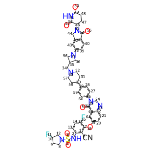 N#Cc1c(NS(=O)(=O)N2CC[C@@H](F)C2)ccc(F)c1Oc1ccc2ncn(-c3ccc(C4CCN(CC5CN(c6ccc7c(c6)CN([C@H]6CCC(=O)NC6=O)C7=O)C5)CC4)cc3)c(=O)c2c1